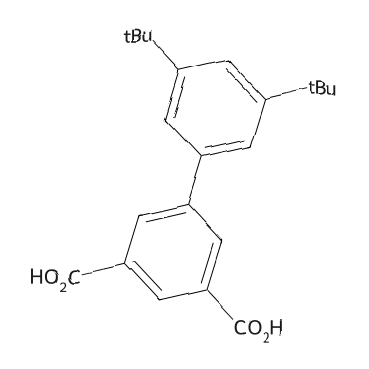 CC(C)(C)c1cc(-c2cc(C(=O)O)cc(C(=O)O)c2)cc(C(C)(C)C)c1